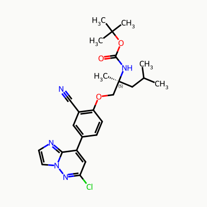 CC(C)C[C@@](C)(COc1ccc(-c2cc(Cl)nn3ccnc23)cc1C#N)NC(=O)OC(C)(C)C